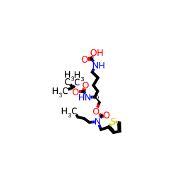 CCCCN(Cc1cccs1)C(=O)OC[C@H](CCCCNC(=O)O)NC(=O)OC(C)(C)C